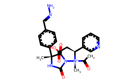 CC(=O)[N@@+](C)([C@@H](CC(=O)O)c1cccnc1)N1C(=O)N[C@](C)(c2ccc(C=NN)cc2)C1=O